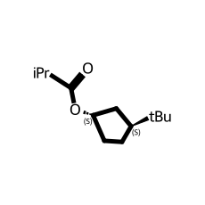 CC(C)C(=O)O[C@H]1CC[C@H](C(C)(C)C)C1